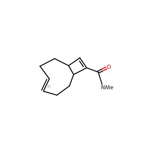 CNC(=O)C1=CC2CC/C=C/CCC12